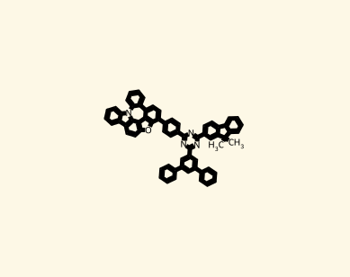 CC1(C)c2ccccc2-c2ccc(-c3nc(-c4ccc(-c5ccc6c7ccccc7n7c8ccccc8c8ccc9oc5c6c9c87)cc4)nc(-c4cc(-c5ccccc5)cc(-c5ccccc5)c4)n3)cc21